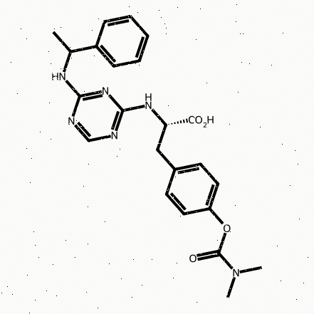 CC(Nc1ncnc(N[C@@H](Cc2ccc(OC(=O)N(C)C)cc2)C(=O)O)n1)c1ccccc1